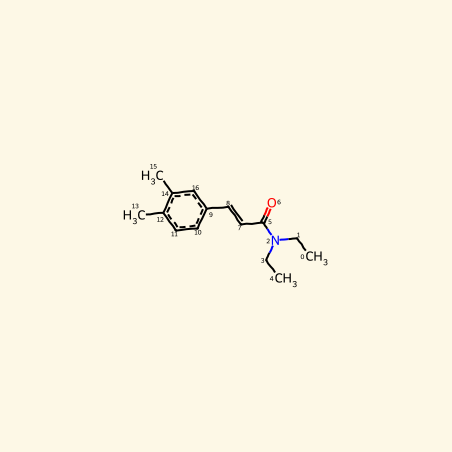 CCN(CC)C(=O)C=Cc1ccc(C)c(C)c1